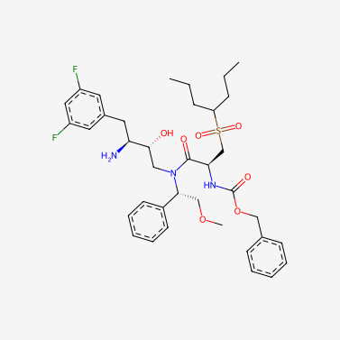 CCCC(CCC)S(=O)(=O)C[C@@H](NC(=O)OCc1ccccc1)C(=O)N(C[C@@H](O)[C@@H](N)Cc1cc(F)cc(F)c1)[C@H](COC)c1ccccc1